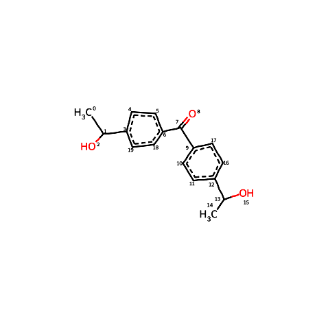 CC(O)c1ccc(C(=O)c2ccc(C(C)O)cc2)cc1